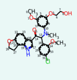 COc1cc(OCCO)cc(N(C)C(C(=O)c2c[nH]c3c4c(ccc23)OCC4)c2ccc(Cl)cc2OC)c1